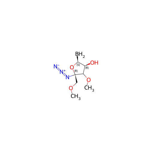 B[C@@H]1O[C@@](COC)(N=[N+]=[N-])C(OC)[C@@H]1O